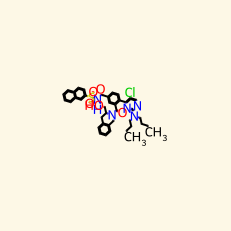 CCCCN(CCCC)c1ncc(Cl)c(-c2ccc(C(=O)NS(=O)(=O)c3ccc4ccccc4c3)cc2C(=O)N2Cc3ccccc3CC2CO)n1